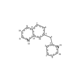 c1ccc(Cc2ccc3cccnc3c2)nc1